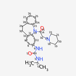 CC(C)NC(=O)Nc1ccc2c(c1)N(C(=O)CN1CCCCC1)c1ccccc1CC2